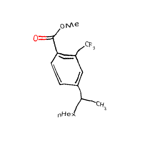 CCCCCCC(C)c1ccc(C(=O)OC)c(C(F)(F)F)c1